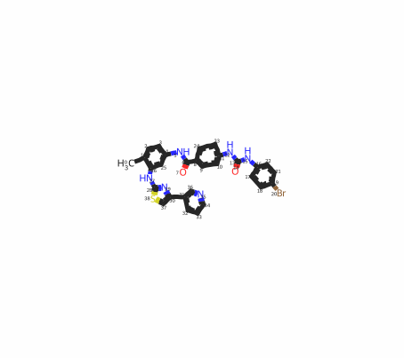 Cc1ccc(NC(=O)c2ccc(NC(=O)Nc3ccc(Br)cc3)cc2)cc1Nc1nc(-c2cccnc2)cs1